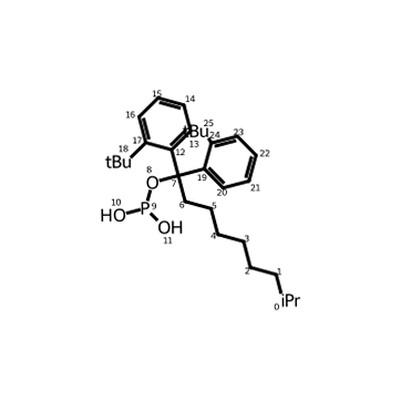 CC(C)CCCCCCC(OP(O)O)(c1ccccc1C(C)(C)C)c1ccccc1C(C)(C)C